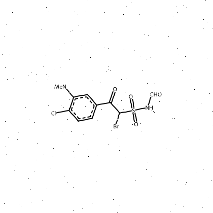 CNc1cc(C(=O)C(Br)S(=O)(=O)NC=O)ccc1Cl